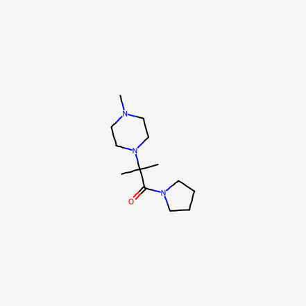 CN1CCN(C(C)(C)C(=O)N2CCCC2)CC1